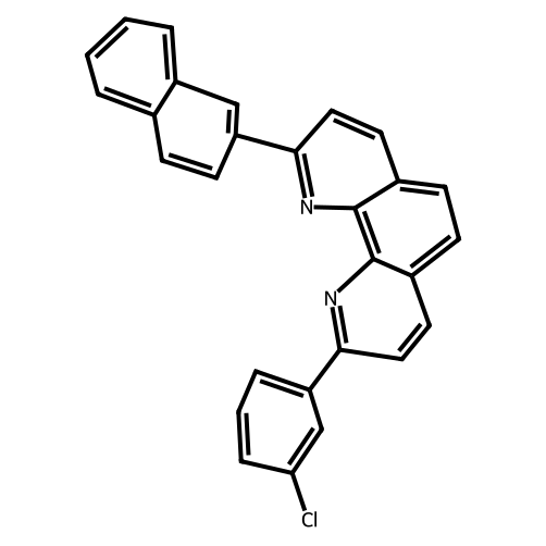 Clc1cccc(-c2ccc3ccc4ccc(-c5ccc6ccccc6c5)nc4c3n2)c1